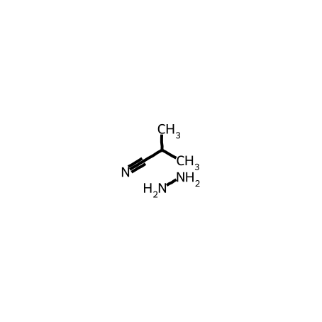 CC(C)C#N.NN